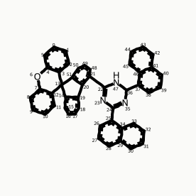 c1ccc2c(c1)Oc1ccccc1C21c2ccccc2-c2c(C3=NC(c4cccc5ccccc45)=NC(c4cccc5ccccc45)N3)cccc21